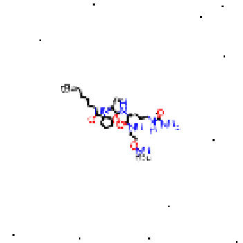 CC(C)[C@H](NC1(C(=O)CCCCCC(C)(C)C)CCCC1)C(=O)N[C@@H](CCCNC(N)=O)C(=O)NCCONC(C)(C)C